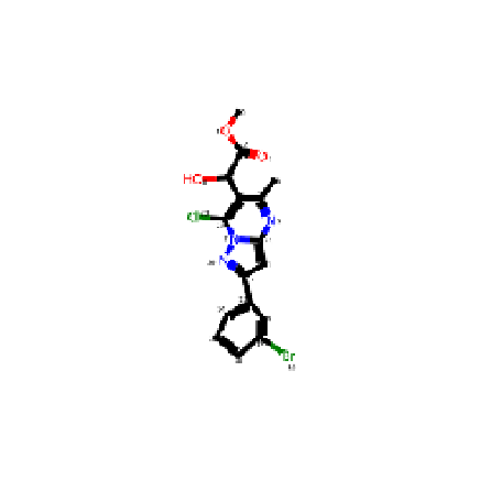 COC(=O)C(O)c1c(C)nc2cc(-c3cccc(Br)c3)nn2c1Cl